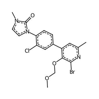 COCOc1c(-c2ccc(-n3ccn(C)c3=O)c(Cl)c2)cc(C)nc1Br